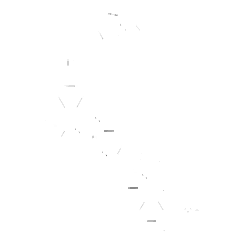 COc1c(I)cc(I)c(C(=O)N[C@@H](CC(=O)N[C@H](CNC(=O)[C@@H](C)c2ccc(CC(C)C)cc2)C(=O)NCCCCCCC(=O)ON2C(=O)CCC2=O)C(=O)O)c1I